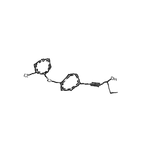 CCC(O)C#Cc1ccc(Oc2ccccc2Cl)cc1